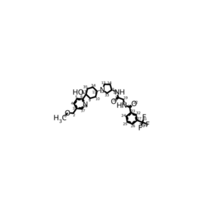 COCc1ccc([C@]2(O)CC[C@@H](N3CC[C@@H](NC(=O)CNC(=O)c4cccc(C(F)(F)F)c4)C3)CC2)nc1